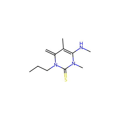 C=C1C(C)=C(NC)N(C)C(=S)N1CCC